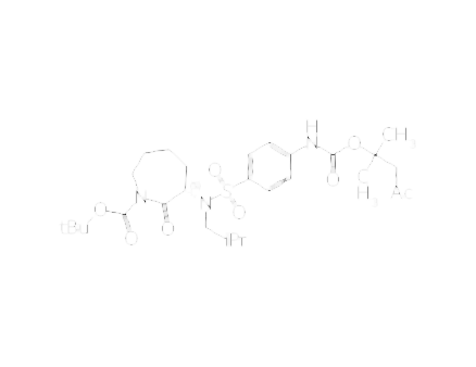 CC(=O)CC(C)(C)OC(=O)Nc1ccc(S(=O)(=O)N(CC(C)C)[C@H]2CCCCN(C(=O)OC(C)(C)C)C2=O)cc1